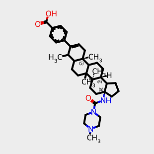 CC1C(c2ccc(C(=O)O)cc2)=CC[C@@]2(C)C1CCC1(C)C2CC[C@@H]2C3CCC[C@]3(NC(=O)N3CCN(C)CC3)CC[C@]21C